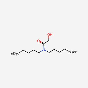 CCCCCCCCCCCCCCN(CCCCCCCCCCCCCC)C(=O)CO